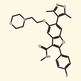 CNC(=O)c1c(-c2ccc(F)cc2)oc2cc(-c3c(C)noc3C)c(OCCN3CCOCC3)cc12